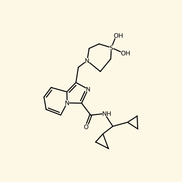 O=C(NC(C1CC1)C1CC1)c1nc(CN2CCS(O)(O)CC2)c2ccccn12